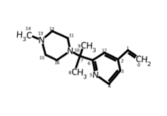 C=Cc1ccnc(C(C)(C)N2CCN(C)CC2)c1